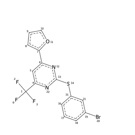 FC(F)(F)c1cc(-c2ccco2)nc(Sc2cccc(Br)c2)n1